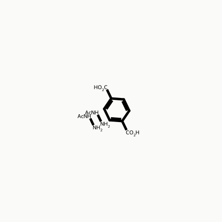 CC(=O)NN.CC(=O)NN.O=C(O)c1ccc(C(=O)O)cc1